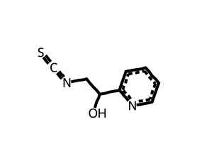 OC(CN=C=S)c1ccccn1